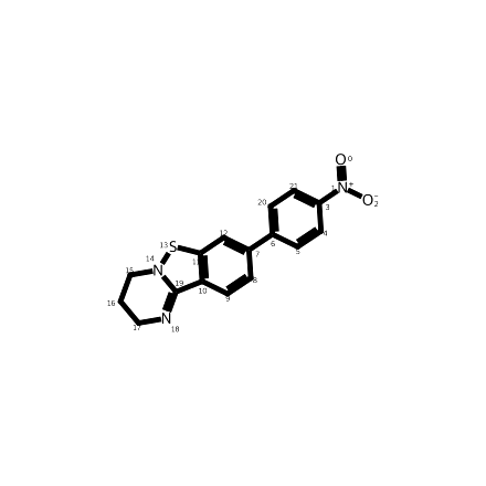 O=[N+]([O-])c1ccc(-c2ccc3c(c2)SN2CCCN=C32)cc1